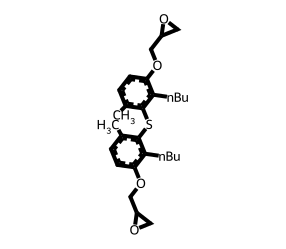 CCCCc1c(OCC2CO2)ccc(C)c1Sc1c(C)ccc(OCC2CO2)c1CCCC